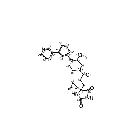 C[C@H]1CN(C(=O)CCC2(C3CC3)NC(=O)NC2=O)CCN1c1cccc(-c2cnccn2)c1